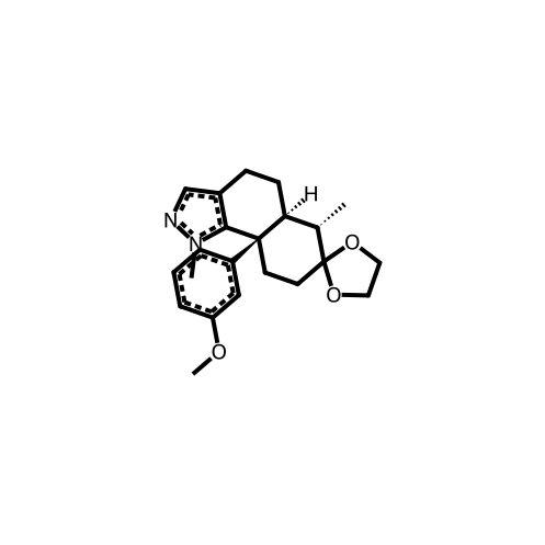 COc1cccc([C@]23CCC4(OCCO4)[C@@H](C)[C@@H]2CCc2cnn(C)c23)c1